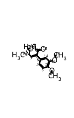 COc1ccc(/C(=C/N(C)C)C(C)=O)cc1OC